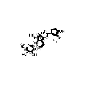 COc1cc(C(=O)O[C@H]2C3C=CO[C@@H](O[C@@H]4O[C@H](CO)[C@@H](O)[C@H](O)[C@H]4O)C3[C@@]3(CO)O[C@@H]23)ccc1O